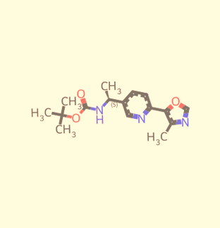 Cc1ncoc1-c1ccc([C@H](C)NC(=O)OC(C)(C)C)cn1